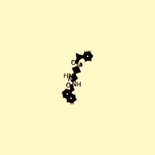 CN(C(=O)C1CC1c1ccccc1)[C@H]1C[C@@H](c2cc(NC(=O)Cc3cccc4ccccc34)n[nH]2)C1